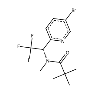 CN(C(=O)C(C)(C)C)[C@@H](c1ccc(Br)cn1)C(F)(F)F